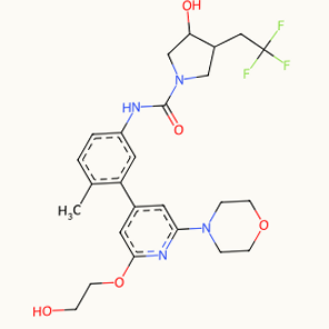 Cc1ccc(NC(=O)N2CC(O)C(CC(F)(F)F)C2)cc1-c1cc(OCCO)nc(N2CCOCC2)c1